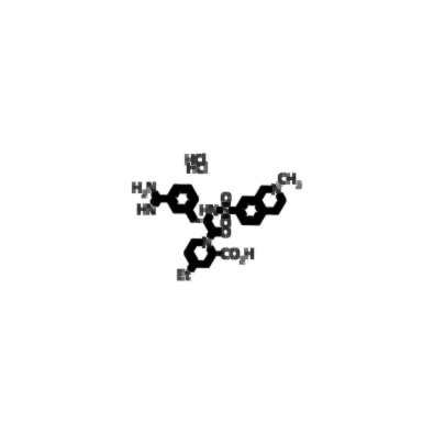 CCC1=CCN(C(=O)[C@H](Cc2cccc(C(=N)N)c2)NS(=O)(=O)c2ccc3c(c2)CN(C)CC3)[C@@H](C(=O)O)C1.Cl.Cl